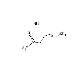 CC=CCC(N)=O.Cl